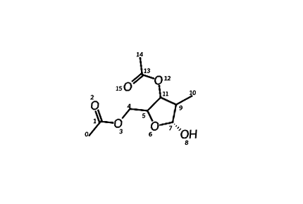 CC(=O)OCC1O[C@@H](O)C(C)C1OC(C)=O